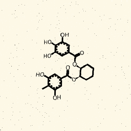 Cc1c(O)cc(C(=O)O[C@@H]2CCCC[C@@H]2OC(=O)c2cc(O)c(O)c(O)c2)cc1O